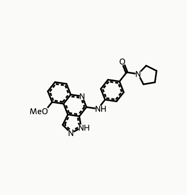 COc1cccc2nc(Nc3ccc(C(=O)N4CCCC4)cc3)c3[nH]ncc3c12